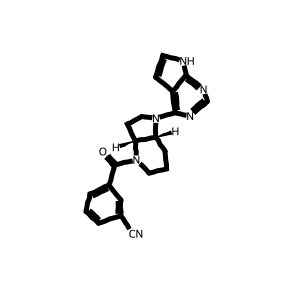 N#Cc1cccc(C(=O)N2CCC[C@@H]3[C@H]2CCN3c2ncnc3[nH]ccc23)c1